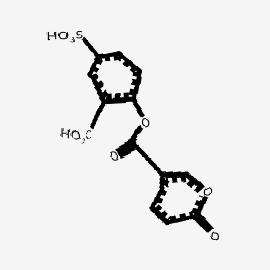 O=C(Oc1ccc(S(=O)(=O)O)cc1C(=O)O)c1ccc(=O)oc1